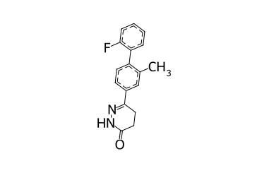 Cc1cc(C2=NNC(=O)CC2)ccc1-c1ccccc1F